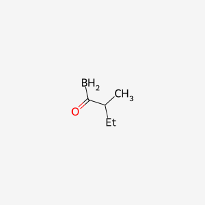 BC(=O)C(C)CC